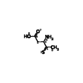 CC(=S)C(N)CC(=O)O